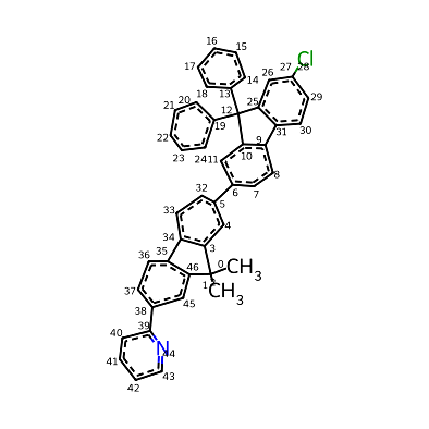 CC1(C)c2cc(-c3ccc4c(c3)C(c3ccccc3)(c3ccccc3)c3cc(Cl)ccc3-4)ccc2-c2ccc(-c3ccccn3)cc21